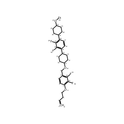 C=CCCOc1ccc(COC2CCC(c3ccc(C4CCC(OCC)CC4)c(F)c3F)CC2)c(F)c1F